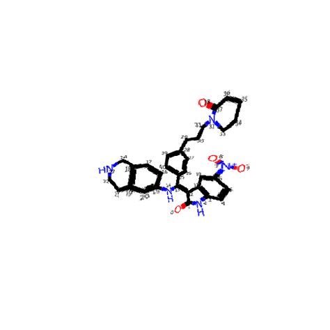 O=C1Nc2ccc([N+](=O)[O-])cc2C1=C(Nc1ccc2c(c1)CCNC2)c1ccc(CCCN2CCCCC2=O)cc1